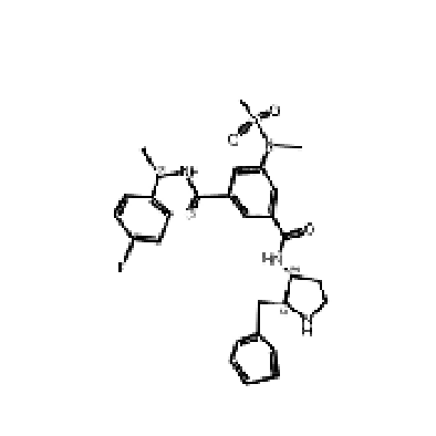 C[C@@H](NC(=O)c1cc(C(=O)N[C@@H]2CCN[C@H]2Cc2ccccc2)cc(N(C)S(C)(=O)=O)c1)c1ccc(F)cc1